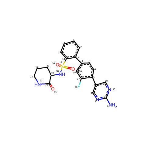 Nc1ncc(-c2ccc(-c3ccccc3S(=O)(=O)NC3CCCNC3=O)cc2F)cn1